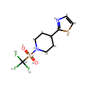 O=S(=O)(N1CCC(c2nccs2)CC1)C(F)(F)F